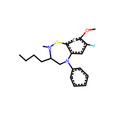 CCCCC1CN(c2ccccc2)c2cc(F)c(OC)cc2SN1C